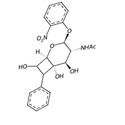 CC(=O)N[C@H]1[C@H](Oc2ccccc2[N+](=O)[O-])O[C@@H]2C(O)C(c3ccccc3)[C@]2(O)[C@@H]1O